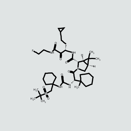 CC1([C@H](NC(=O)NC2(CS(=O)(=O)C(C)(C)C)CCCCC2)C(=O)N2C[C@H]3[C@@H]([C@H]2C(=O)N[C@@H](CCC2CC2)C(=O)C(=O)NCCF)C3(C)C)CCCCC1